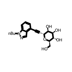 CCCCn1ncc2c(C#C[C@H]3O[C@H](CO)[C@@H](O)[C@H](O)[C@@H]3O)cccc21